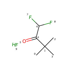 CC(C)(C)C(=O)C(F)F.F